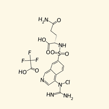 N=C(N)N(Cl)c1cncc2cc(S(=O)(=O)N[C@@H](CCC(N)=O)C(=O)O)ccc12.O=C(O)C(F)(F)F